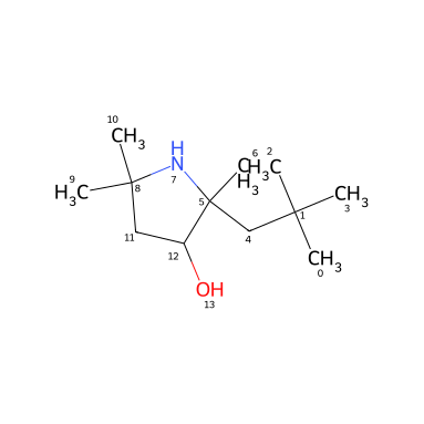 CC(C)(C)CC1(C)NC(C)(C)CC1O